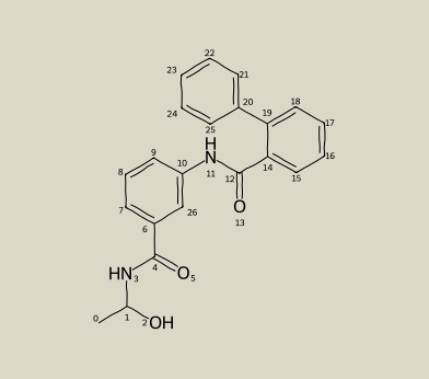 CC(O)NC(=O)c1cccc(NC(=O)c2ccccc2-c2ccccc2)c1